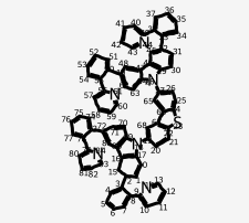 C1=CC(c2ccccc2-c2ccccn2)Cc2c1n(-c1ccc3sc4ccc(-n5c6ccc(-c7ccccc7-c7ccccn7)cc6c6cc(-c7ccccc7-c7ccccn7)ccc65)cc4c3c1)c1ccc(-c3ccccc3-c3ccccn3)cc21